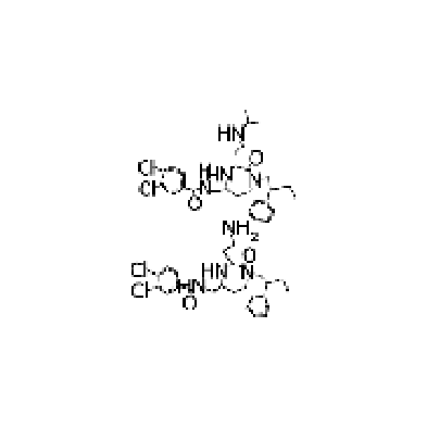 CCC(CN1CC[C@@H](CNC(=O)c2ccc(Cl)c(Cl)c2)N[C@@H](CCN)C1=O)c1ccccc1.CCC(CN1CC[C@@H](CNC(=O)c2ccc(Cl)c(Cl)c2)N[C@@H](CCNC(C)C)C1=O)c1ccccc1